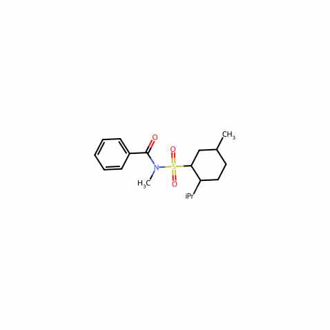 CC1CCC(C(C)C)C(S(=O)(=O)N(C)C(=O)c2ccccc2)C1